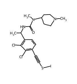 CC(NC(=O)N(C)C1CCN(C)CC1)c1ccc(C#CSI)c(Cl)c1Cl